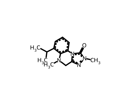 CC(C)c1cccc2c1N(C)Cc1nn(C)c(=O)n1-2